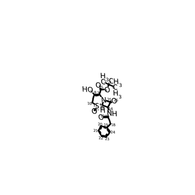 CC(C)(C)OC(=O)C1=C(O)C[S+]([O-])[C@@H]2C(NC(=O)Cc3ccccc3)C(=O)N12